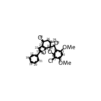 COc1cc(OC)c2c(c1Cl)O[C@]1(C2=O)c2oc(-c3ccccc3)cc2C(=O)C[C@H]1C